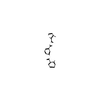 Cc1ccoc1-c1nnc(-c2cccc(NC(=O)c3ccccc3F)c2)o1